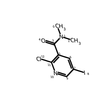 CN(C)C(=O)c1cc(I)cnc1Cl